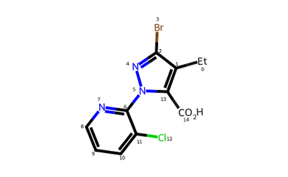 CCc1c(Br)nn(-c2ncccc2Cl)c1C(=O)O